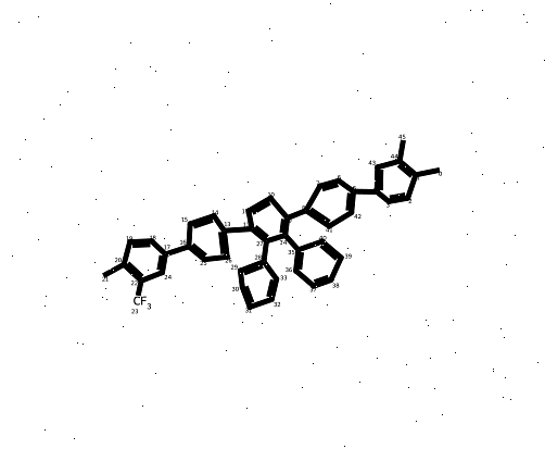 Cc1ccc(-c2ccc(-c3ccc(-c4ccc(-c5ccc(C)c(C(F)(F)F)c5)cc4)c(-c4ccccc4)c3-c3ccccc3)cc2)cc1C